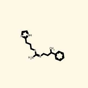 CC(CCN=C(N)SCCCc1ncc[nH]1)c1ccccc1